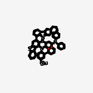 CC(C)(C)c1ccc(N2c3ccc(N(c4ccccc4)c4ccccc4)cc3B3c4c(cc5sc6ccccc6c5c42)-c2cccc4c5cc6ccccc6cc5n3c24)c(-c2ccccc2)c1